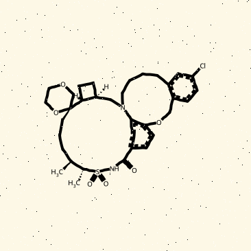 C[C@@H]1[C@@H](C)CCC[C@@]2(COCCO2)[C@@H]2CC[C@H]2CN2CCCCc3cc(Cl)ccc3COc3ccc(cc32)C(=O)NS1(=O)=O